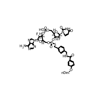 CCCCCCCCCCOc1ccc(C(=O)NCc2ccc(CSP3(=O)OC[C@H]4O[C@@H](n5cnc6c(N)ncnc65)[C@H](F)[C@@H]4OP(=O)(O)OC[C@H]4O[C@@H](n5ccc(=O)[nH]c5=O)[C@H](F)[C@@H]4O3)cc2)cc1